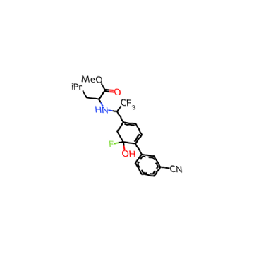 COC(=O)C(CC(C)C)NC(C1=CC=C(c2cccc(C#N)c2)C(O)(F)C1)C(F)(F)F